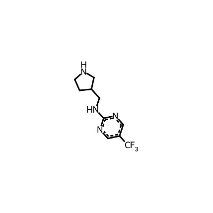 FC(F)(F)c1cnc(NCC2CCNC2)nc1